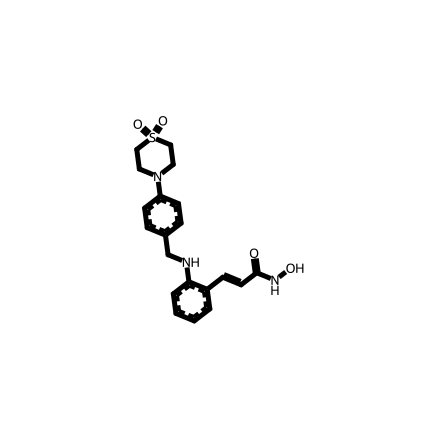 O=C(C=Cc1ccccc1NCc1ccc(N2CCS(=O)(=O)CC2)cc1)NO